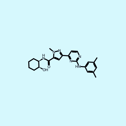 Cc1cc(C)cc(Nc2nccc(-c3cc(C(=O)N[C@@H]4CCCC[C@@H]4O)n(C)n3)n2)c1